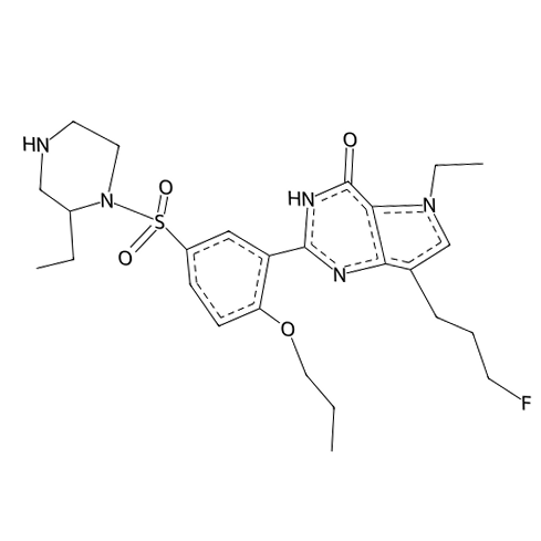 CCCOc1ccc(S(=O)(=O)N2CCNCC2CC)cc1-c1nc2c(CCCF)cn(CC)c2c(=O)[nH]1